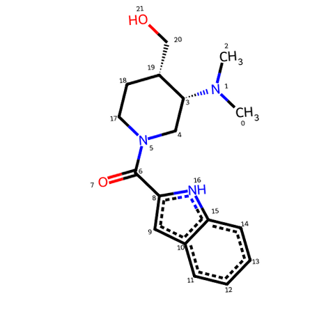 CN(C)[C@@H]1CN(C(=O)c2cc3ccccc3[nH]2)CC[C@@H]1CO